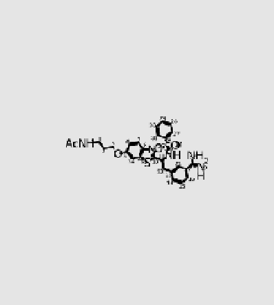 CC(=O)NCCCOc1ccc2nc(C(Cc3cccc(C(=N)N)c3)NS(=O)(=O)c3ccccc3)sc2c1